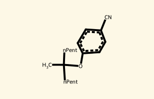 CCCCCC(C)(CCCCC)Oc1ccc(C#N)cc1